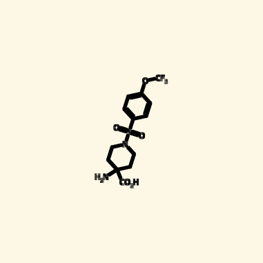 NC1(C(=O)O)CCN(S(=O)(=O)c2ccc(OC(F)(F)F)cc2)CC1